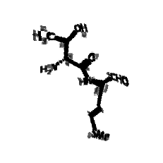 CSCC[C@H](C=O)NC(=O)[C@H](N)C(C)O